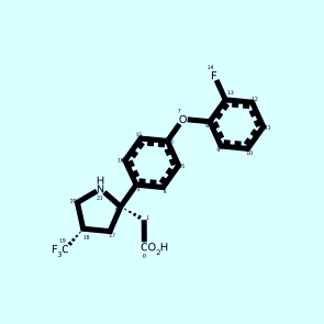 O=C(O)C[C@]1(c2ccc(Oc3ccccc3F)cc2)C[C@H](C(F)(F)F)CN1